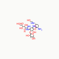 C[C@@H]1C(O)[C@@H](OC2C(O)C(O[C@H]3O[C@H](CNCCO)CCC3N)[C@@H](N)C[C@H]2NC(=N)C(O)C(O)C(O)C(O)CO)OCC1(C)O